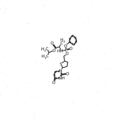 CC(C)OC(=O)C(C)NP(=O)(OCC1CCC(n2ccc(=O)[nH]c2=O)S1)Oc1ccccc1